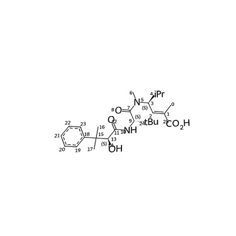 CC(=C[C@H](C(C)C)N(C)C(=O)[C@@H](NC(=O)[C@@H](O)C(C)(C)c1ccccc1)C(C)(C)C)C(=O)O